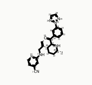 C=C(CNc1cc(C#N)ccn1)[C@H]1CC[C@@H](C)NC1C(=O)c1cccc(-n2nccn2)c1